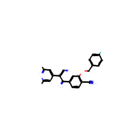 Cc1cc(/C(=C/N)C(=N)c2ccc(C#N)c(OCc3ccc(F)cc3)c2)cc(C)n1